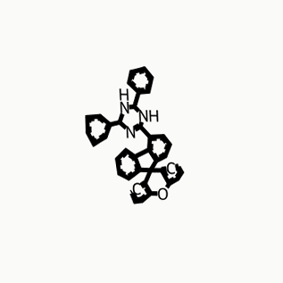 c1ccc(C2N=C(c3cccc4c3-c3ccccc3C43c4ccccc4Oc4ccccc43)NC(c3ccccc3)N2)cc1